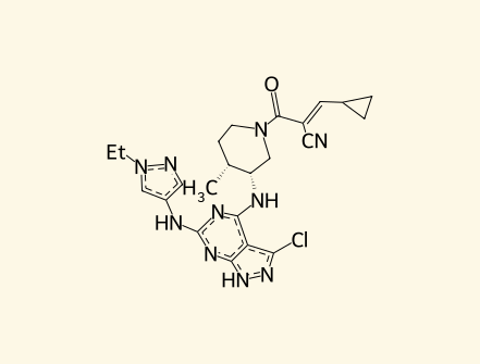 CCn1cc(Nc2nc(N[C@H]3CN(C(=O)/C(C#N)=C/C4CC4)CC[C@H]3C)c3c(Cl)n[nH]c3n2)cn1